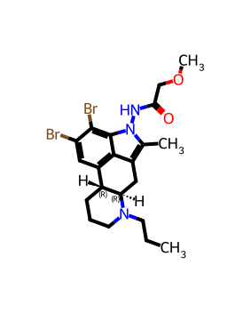 CCCN1CCC[C@@H]2c3cc(Br)c(Br)c4c3c(c(C)n4NC(=O)COC)C[C@H]21